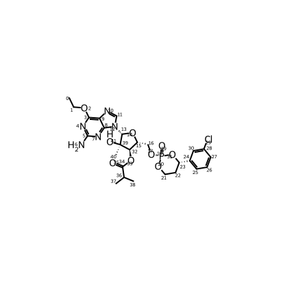 CCOc1nc(N)nc2c1ncn2[C@@H]1O[C@H](CO[P@@]2(=O)OCC[C@@H](c3cccc(Cl)c3)O2)[C@@H](OC(=O)C(C)C)[C@@]1(C)O